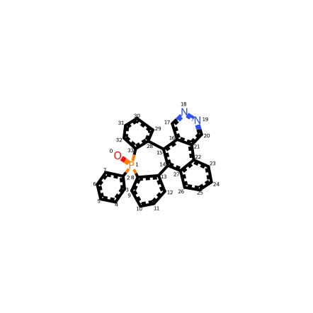 O=P1(c2ccccc2)c2ccccc2-c2c(c3cnncc3c3ccccc23)-c2ccccc21